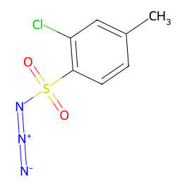 Cc1ccc(S(=O)(=O)N=[N+]=[N-])c(Cl)c1